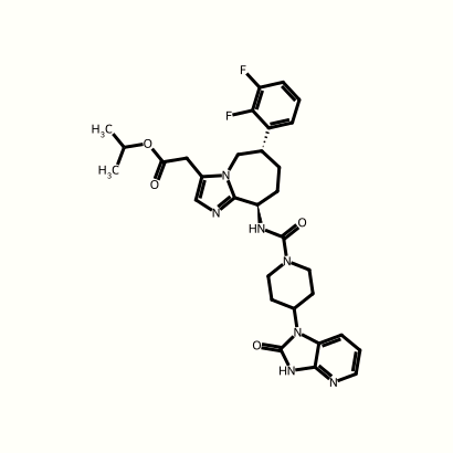 CC(C)OC(=O)Cc1cnc2n1C[C@H](c1cccc(F)c1F)CC[C@H]2NC(=O)N1CCC(n2c(=O)[nH]c3ncccc32)CC1